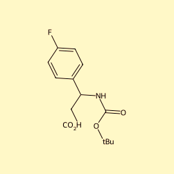 CC(C)(C)OC(=O)NC(CC(=O)O)c1ccc(F)cc1